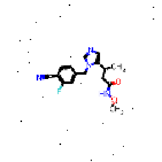 CONC(=O)CC(C)c1cncn1Cc1ccc(C#N)c(F)c1